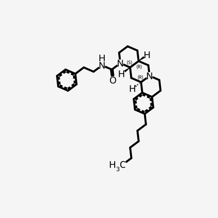 CCCCCCc1ccc2c(c1)CCN1C[C@H]3CCCN(C(=O)NCCc4ccccc4)[C@H]3C[C@H]21